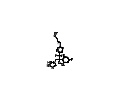 CCOC(CN1C=NNN1)(c1ccc(F)cc1F)C(F)(F)c1ccc(/C=C/COC(C)C)cn1